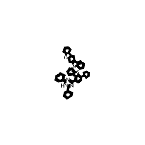 c1ccc(C2=NC(c3ccc(-c4ccccc4)c4sc5c(-n6c7ccccc7c7cc8c(cc76)oc6ccccc68)cccc5c34)=NC(c3ccccc3)N2)cc1